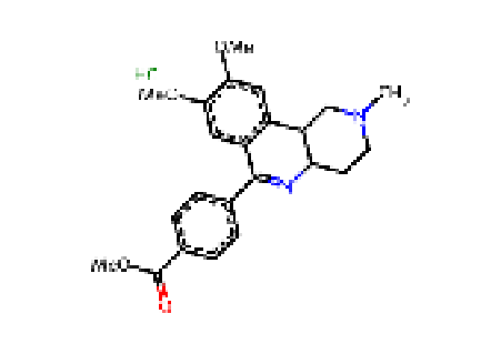 COC(=O)c1ccc(C2=NC3CCN(C)CC3c3cc(OC)c(OC)cc32)cc1.Cl